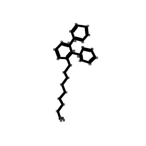 CCCCCCCCCc1cccc(-c2ccccc2)c1-c1ccccc1